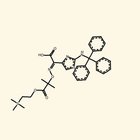 CC(C)(O/N=C(/C(=O)O)c1csc(NC(c2ccccc2)(c2ccccc2)c2ccccc2)n1)C(=O)OCC[Si](C)(C)C